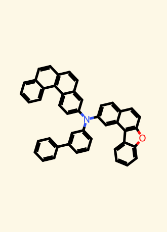 c1ccc(-c2cccc(N(c3ccc4c(ccc5ccc6ccccc6c54)c3)c3ccc4ccc5oc6ccccc6c5c4c3)c2)cc1